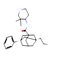 CC1(C)CNCCC1NC(=O)C12CC3C[C@@](CCCl)(C1)C[C@](c1ccccc1)(C3)C2